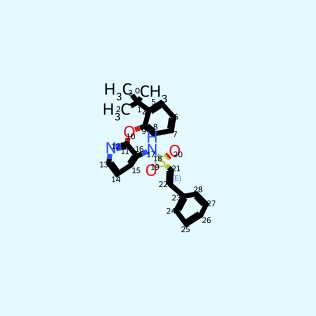 CC(C)(C)c1ccccc1Oc1ncccc1NS(=O)(=O)/C=C/c1ccccc1